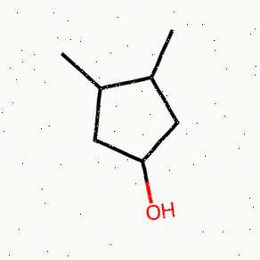 CC1CC(O)CC1C